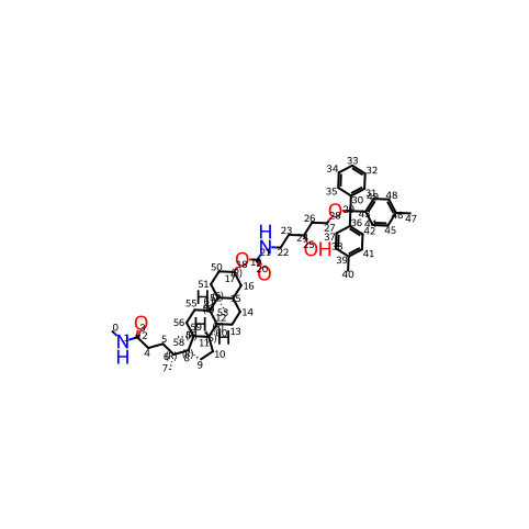 CNC(=O)CC[C@@H](C)[C@H]1CC[C@H]2[C@@H]3CCC4C[C@H](OC(=O)NCCC(O)CCOC(c5ccccc5)(c5ccc(C)cc5)c5ccc(C)cc5)CC[C@]4(C)[C@H]3CC[C@]12C